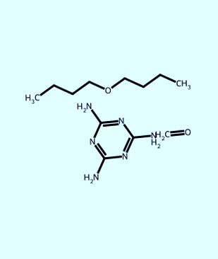 C=O.CCCCOCCCC.Nc1nc(N)nc(N)n1